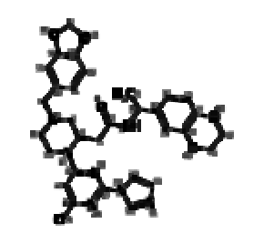 CC(NC(=O)CC1CN(Cc2ccc3c(c2)OCO3)CCN1c1cc(Cl)nc(-n2ccnc2)n1)c1ccc2c(c1)OCCO2